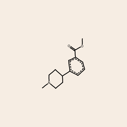 COC(=O)c1cccc(C2CCN(C)CC2)c1